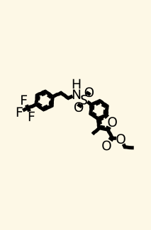 CCOC(=O)c1oc2ccc(S(=O)(=O)NCCc3ccc(C(F)(F)F)cc3)cc2c1C